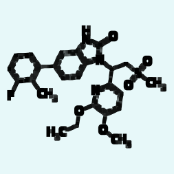 CCOc1nc(C(CS(C)(=O)=O)n2c(=O)[nH]c3cc(-c4cccc(F)c4C)ccc32)ccc1OC